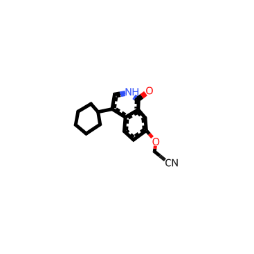 N#CCOc1ccc2c(C3CCCCC3)c[nH]c(=O)c2c1